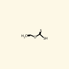 C=COC(=S)S